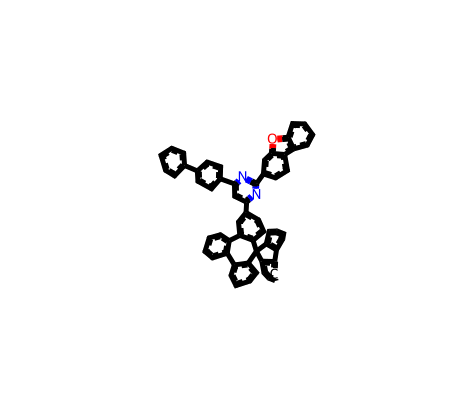 c1ccc(-c2ccc(-c3cc(-c4ccc5c(c4)-c4ccccc4-c4ccccc4C54c5ccccc5-c5ccccc54)nc(-c4ccc5c(c4)oc4ccccc45)n3)cc2)cc1